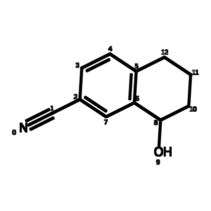 N#Cc1ccc2c(c1)C(O)CCC2